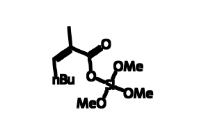 CCCCC=C(C)C(=O)O[Si](OC)(OC)OC